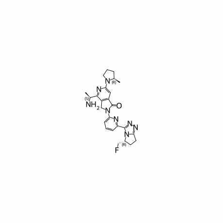 C[C@H](N)c1nc(N2CCC[C@H]2C)cc2c1CN(c1cccc(-c3nnc4n3[C@@H](CF)CC4)n1)C2=O